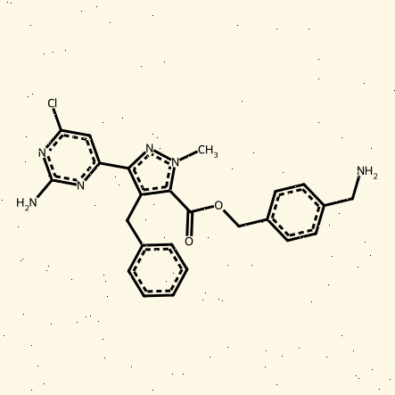 Cn1nc(-c2cc(Cl)nc(N)n2)c(Cc2ccccc2)c1C(=O)OCc1ccc(CN)cc1